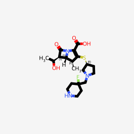 CC(O)[C@H]1C(=O)N2C(C(=O)O)=C(S[C@@H]3CCN(CC4(F)CCNCC4)C3)[C@H](C)[C@H]12